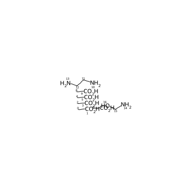 CC(=O)O.CC(=O)O.CC(=O)O.CC(=O)O.CC(=O)O.NCCN.NCO